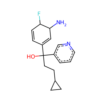 NC1C=C(C(O)(CCC2CC2)c2cccnc2)C=CC1F